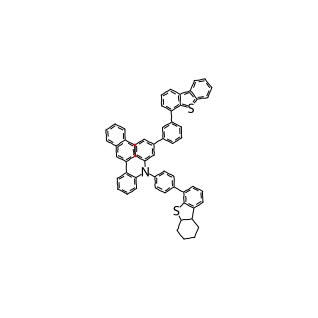 c1cc(-c2cccc(N(c3ccc(-c4cccc5c4SC4CCCCC54)cc3)c3ccccc3-c3ccc4ccccc4c3)c2)cc(-c2cccc3c2sc2ccccc23)c1